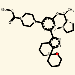 C[C@H](Oc1cc(N2CCN(C(=O)OC(C)(C)C)CC2)nc(-c2noc3c2CCC[C@@]32CCCCC23OCCO3)n1)[C@@H]1CCCN1C